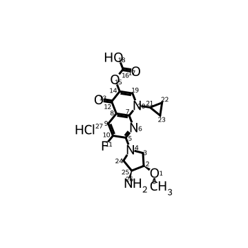 CO[C@@H]1CN(c2nc3c(cc2F)c(=O)c(OC(=O)O)cn3C2CC2)C[C@@H]1N.Cl